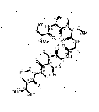 CN[C@H](CC(C)C)C(=O)N[C@@H](C(=O)N(C)[C@H](CC(C)C)C(=O)N[C@H](C)C(=O)N[C@H](C)C(=O)N(C)[C@@H](CC(C)C)C(=O)N(C)[C@@H](CC(C)C)C(=O)N(C)[C@H]([C]=O)C(C)C)C(C)C